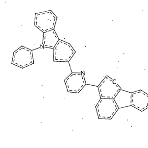 c1ccc(-n2c3ccccc3c3ccc(-c4cccc(-c5ccc6c7c(cccc57)-c5ccccc5-6)n4)cc32)cc1